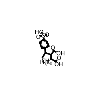 CCC(c1ccc(S(=O)(=O)O)cc1)C(C(=O)O)C(C)C(=O)O